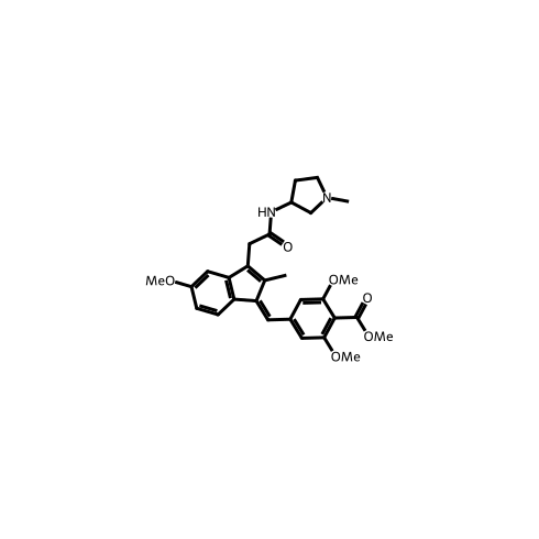 COC(=O)c1c(OC)cc(C=C2C(C)=C(CC(=O)NC3CCN(C)C3)c3cc(OC)ccc32)cc1OC